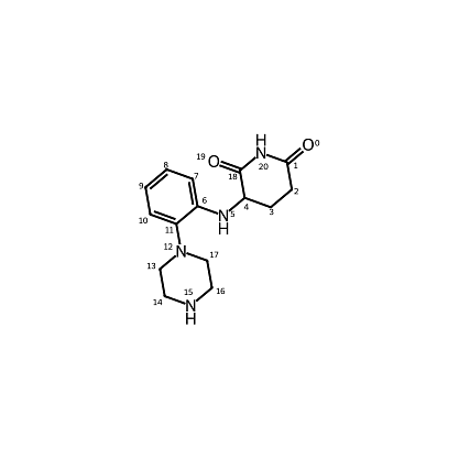 O=C1CCC(Nc2ccccc2N2CCNCC2)C(=O)N1